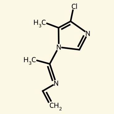 C=C/N=C(\C)n1cnc(Cl)c1C